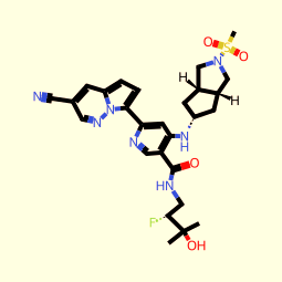 CC(C)(O)[C@H](F)CNC(=O)c1cnc(-c2ccc3cc(C#N)cnn23)cc1N[C@@H]1C[C@@H]2CN(S(C)(=O)=O)C[C@@H]2C1